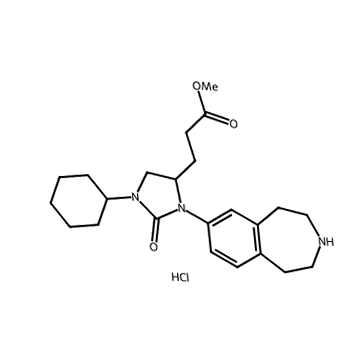 COC(=O)CCC1CN(C2CCCCC2)C(=O)N1c1ccc2c(c1)CCNCC2.Cl